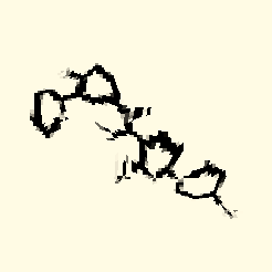 CC(=O)C1CCN(c2ccc(C(=O)Nc3ccc(Cl)c(-c4ccccn4)c3)c(C)n2)CC1